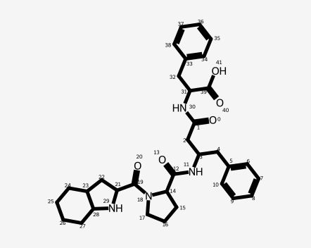 O=C(CC(Cc1ccccc1)NC(=O)C1CCCN1C(=O)C1CC2CCCCC2N1)NC(Cc1ccccc1)C(=O)O